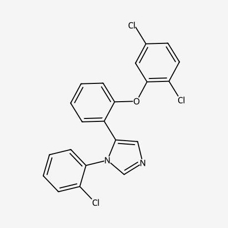 Clc1ccc(Cl)c(Oc2ccccc2-c2cncn2-c2ccccc2Cl)c1